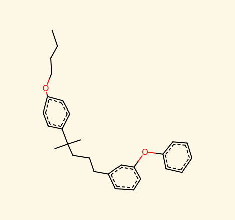 CCCCOc1ccc(C(C)(C)CCCc2cccc(Oc3ccccc3)c2)cc1